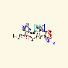 CC(Oc1ccc(-c2cc(C(N)=O)c(=O)[nH]c2C(F)(F)F)cc1)c1cncnc1